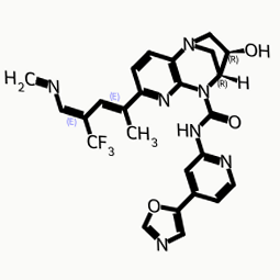 C=N/C=C(\C=C(/C)c1ccc2c(n1)N(C(=O)Nc1cc(-c3cnco3)ccn1)[C@@H]1CN2C[C@H]1O)C(F)(F)F